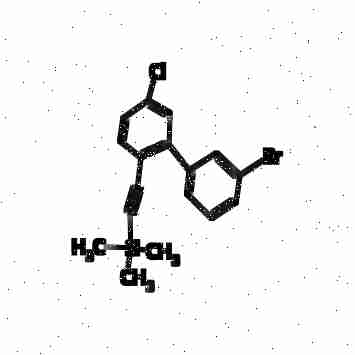 C[Si](C)(C)C#Cc1ccc(Cl)cc1-c1cccc(Br)c1